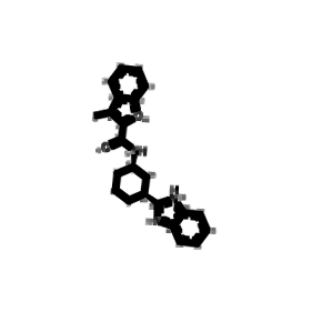 Cc1c(C(=O)N[C@@H]2CCC[C@H](c3nc4ccccc4[nH]3)C2)oc2ccccc12